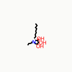 CCCCCCCCC[C@@H]1C(O)[C@@H](O)[C@H](O)CN1CCCC